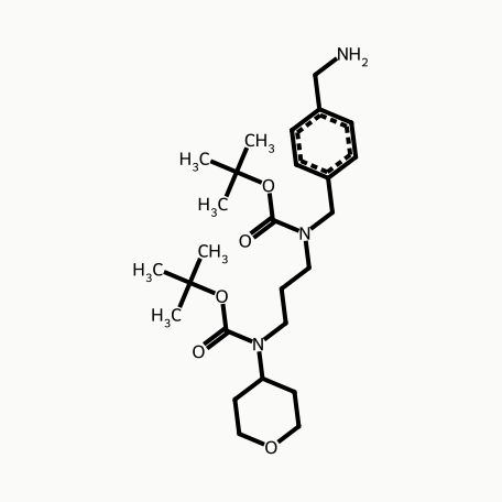 CC(C)(C)OC(=O)N(CCCN(C(=O)OC(C)(C)C)C1CCOCC1)Cc1ccc(CN)cc1